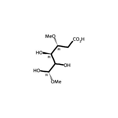 CO[C@H](O)C(O)[C@@H](O)[C@@H](CC(=O)O)OC